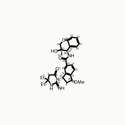 CCC1(CC)CC(=O)N([C@H]2C[C@@H](OC)c3ccc(C(=O)N[C@@H]4c5ccccc5OC[C@@]4(C)O)cc32)C(=N)N1